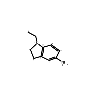 CCN1CCc2cc(N)ccc21